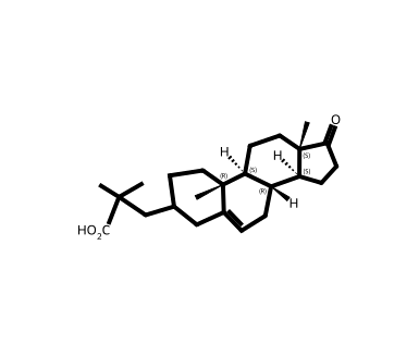 CC(C)(CC1CC[C@@]2(C)C(=CC[C@@H]3[C@@H]2CC[C@]2(C)C(=O)CC[C@@H]32)C1)C(=O)O